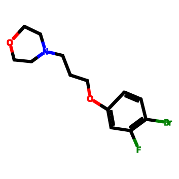 Fc1cc(OCCCN2CCOCC2)ccc1Br